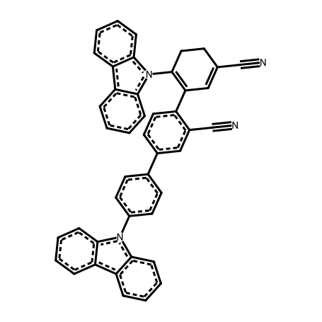 N#CC1=CC(c2ccc(-c3ccc(-n4c5ccccc5c5ccccc54)cc3)cc2C#N)=C(n2c3ccccc3c3ccccc32)CC1